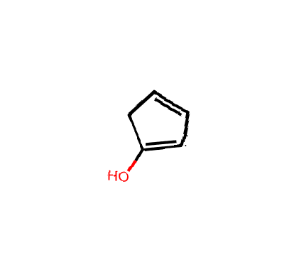 OC1=[C]C=CC1